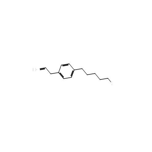 [CH]=CCc1ccc(CCCCCC)cc1